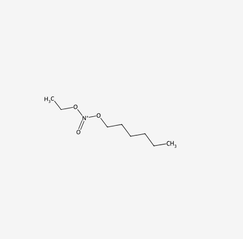 CCCCCCO[N+](=O)OCC